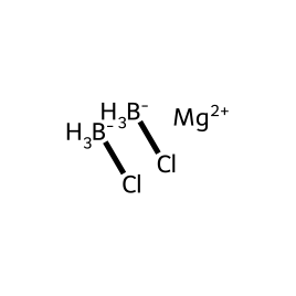 [BH3-]Cl.[BH3-]Cl.[Mg+2]